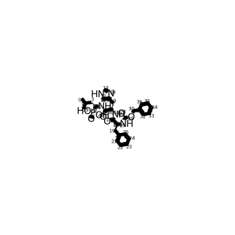 CC(C)C[C@H](NC(=O)[C@H](Cc1c[nH]cn1)NC(=O)[C@H](Cc1ccccc1)NC(=O)OCc1ccccc1)P(=O)(O)O